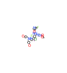 COc1ccc(CN(Cc2ccc(OC)cc2)c2ccc(I)c(-c3c(Cl)cc4c(N5CCN(C(=O)OC(C)(C)C)CC5)nc(OC[C@@]56CCCN5C[C@H](F)C6)nc4c3F)n2)cc1